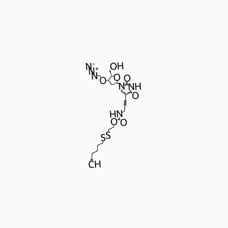 C#CCCCCSSCCOC(=O)NCC#Cc1cn([C@H]2CC(OCN=[N+]=[N-])[C@@H](CO)O2)c(=O)[nH]c1=O